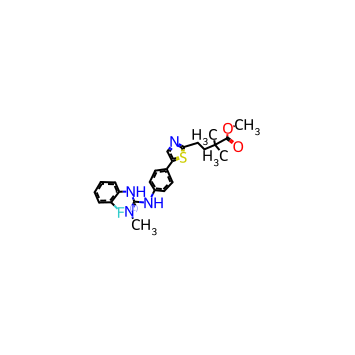 C/N=C(\Nc1ccc(-c2cnc(CCC(C)(C)C(=O)OC)s2)cc1)Nc1ccccc1F